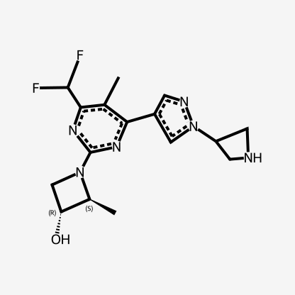 Cc1c(-c2cnn(C3CNC3)c2)nc(N2C[C@@H](O)[C@@H]2C)nc1C(F)F